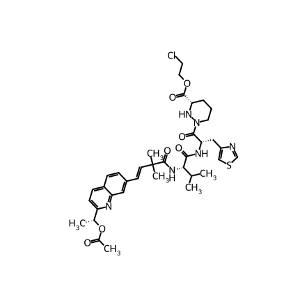 CC(=O)O[C@H](C)c1ccc2ccc(/C=C/C(C)(C)C(=O)N[C@H](C(=O)N[C@@H](Cc3cscn3)C(=O)N3CCC[C@@H](C(=O)OCCCl)N3)C(C)C)cc2n1